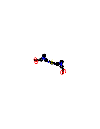 COC(=O)CCc1ccc(N(c2ccccc2)c2ccc(/C=C/c3ccc(/C=C/c4ccc(N(c5ccccc5)c5ccc(CCC(=O)OC)cc5)cc4)s3)cc2)cc1